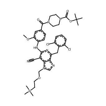 COc1cc(C(=O)N2CCN(C(=O)OC(C)(C)C)CC2)ccc1Nc1nc(Cc2c(Cl)cccc2Cl)c2ncn(COCC[Si](C)(C)C)c2c1C#N